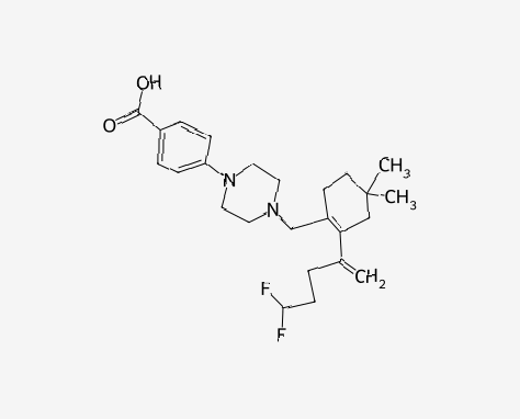 C=C(CCC(F)F)C1=C(CN2CCN(c3ccc(C(=O)O)cc3)CC2)CCC(C)(C)C1